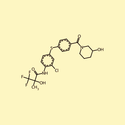 CC(O)(C(=O)Nc1ccc(Sc2ccc(C(=O)N3CCCC(O)C3)cc2)cc1Cl)C(F)(F)F